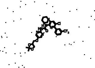 CC1(C)OCC(COc2cnc(NC(=O)N3c4nc(-c5cccc(C(F)(F)F)c5)c(Cl)cc4N4CCC[C@H]3C4)nc2)O1